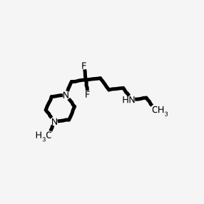 CCNCCCC(F)(F)CN1CCN(C)CC1